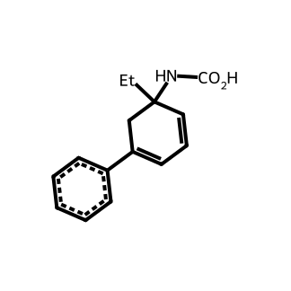 CCC1(NC(=O)O)C=CC=C(c2ccccc2)C1